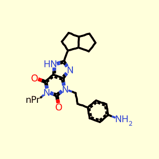 CCCn1c(=O)c2[nH]c(C3CCC4CCCC43)nc2n(CCc2ccc(N)cc2)c1=O